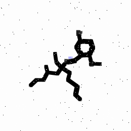 CC=CCCC(CC)(CC(C)CCC)/N=C/c1cc(Br)ccc1OC